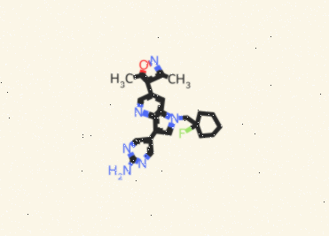 Cc1noc(C)c1-c1cnc2c(-c3cnc(N)nc3)cn(CC3(F)CCCCC3)c2c1